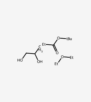 CC(O)CO.CCC(=O)OC(C)(C)C.CCOCC